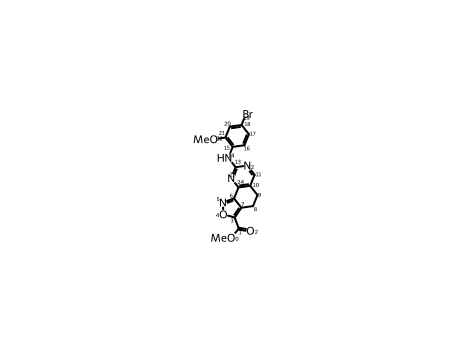 COC(=O)c1onc2c1CCc1cnc(Nc3ccc(Br)cc3OC)nc1-2